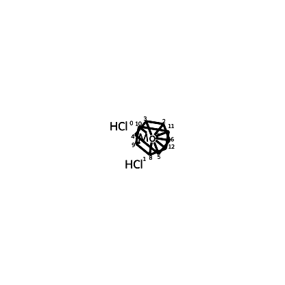 Cl.Cl.[CH]12[CH]3[CH]4[CH]5[CH]1[Mo]23451678[CH]2[CH]1[CH]6[CH]7[CH]28